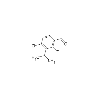 CC(C)c1c(Cl)ccc(C=O)c1F